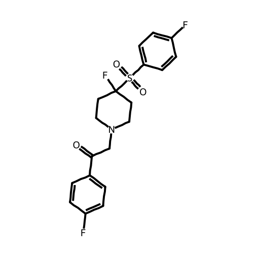 O=C(CN1CCC(F)(S(=O)(=O)c2ccc(F)cc2)CC1)c1ccc(F)cc1